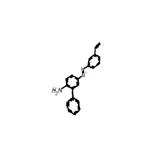 C=Cc1cccc(/N=N/c2ccc(N)c(-c3ccccc3)c2)c1